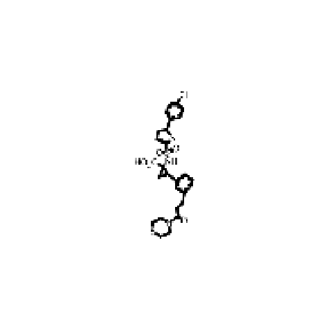 O=C(CCc1cccc(C2CC2(NS(=O)(=O)C2=CCC(c3ccc(Cl)cc3)S2)C(=O)O)c1)N1CCSCC1